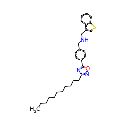 CCCCCCCCCCCc1noc(-c2ccc(CNCc3csc4ccccc34)cc2)n1